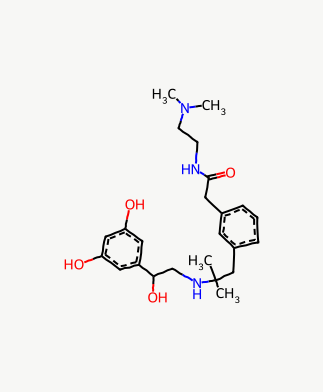 CN(C)CCNC(=O)Cc1cccc(CC(C)(C)NCC(O)c2cc(O)cc(O)c2)c1